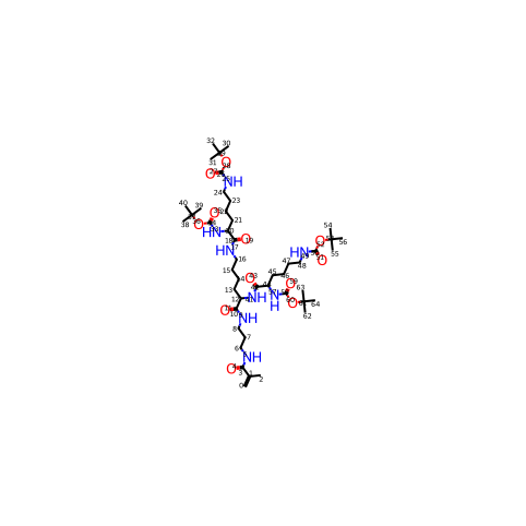 C=C(C)C(=O)NCCCNC(=O)C(CCCCNC(=O)C(CCCCNC(=O)OC(C)(C)C)NC(=O)OC(C)(C)C)NC(=O)C(CCCCNC(=O)OC(C)(C)C)NC(=O)OC(C)(C)C